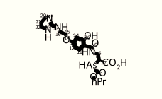 CCCOC(=O)[AsH][C@@H](CNC(=O)c1ccc(OCCNC2=NCCCN2)cc1O)C(=O)O